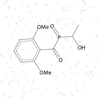 COc1cccc(OC)c1C(=O)[P](=O)C(C)O